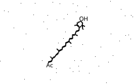 CC(=O)/C=C/C(C)=C/C=C/C(C)=C/C=C/C=C(C)/C=C/C=C(C)/C=C/C1=C(C)CC(O)CC1(C)C